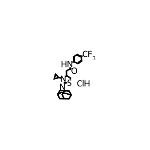 Cl.O=C(CC1CS/C(=N\C23CC4CC(CC(C4)C2)C3)N1C1CC1)Nc1ccc(C(F)(F)F)cc1